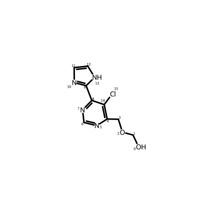 OCOCc1ncnc(-c2ncc[nH]2)c1Cl